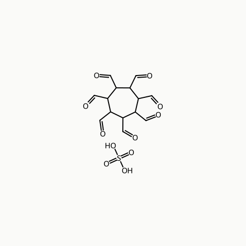 O=CC1C(C=O)C(C=O)C(C=O)C(C=O)C(C=O)C1C=O.O=S(=O)(O)O